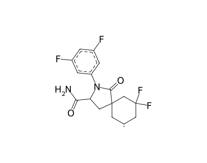 NC(=O)C1CC2(C[CH]CC(F)(F)C2)C(=O)N1c1cc(F)cc(F)c1